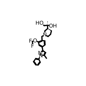 Cc1cc(-c2ccc(CN3CCC[C@H]([C@](C)(O)CO)C3)c(OC(F)F)c2)nn1-c1ccccc1